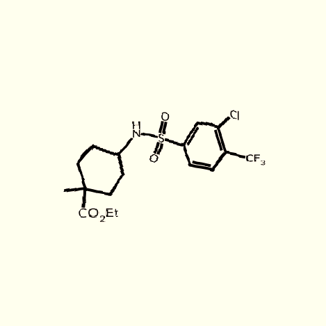 CCOC(=O)C1(C)CCC(NS(=O)(=O)c2ccc(C(F)(F)F)c(Cl)c2)CC1